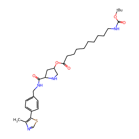 Cc1ncsc1-c1ccc(CNC(=O)C2CC(OC(=O)CCCCCCCCCNC(=O)OC(C)(C)C)CN2)cc1